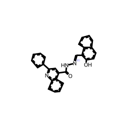 O=C(N/N=C/c1c(O)ccc2ccccc12)c1cc(-c2ccccc2)nc2ccccc12